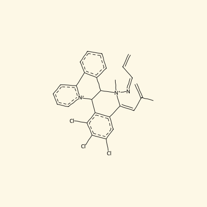 C=C/C=N\[N+]1(C)/C(=C\C(=C)C)c2cc(Cl)c(Cl)c(Cl)c2C2C1c1ccccc1-c1cccc[n+]12